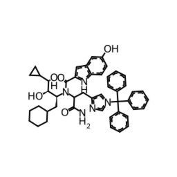 NC(=O)C(Cc1cn(C(c2ccccc2)(c2ccccc2)c2ccccc2)cn1)N(C(=O)c1cc2cc(O)ccc2[nH]1)[C@@H](CC1CCCCC1)[C@@H](O)[C@@H](O)C1CC1